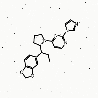 CCC(c1ccc2c(c1)OCO2)C1CCCN1c1ccnc(-n2ccnc2)n1